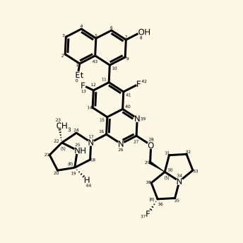 CCc1cccc2cc(O)cc(-c3c(F)cc4c(N5C[C@H]6CC[C@@](C)(C5)N6)nc(OC[C@@]56CCCN5C[C@H](F)C6)nc4c3F)c12